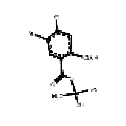 CCCC(C)(C)OC(=O)c1cc(Br)c(Cl)cc1C(=O)O